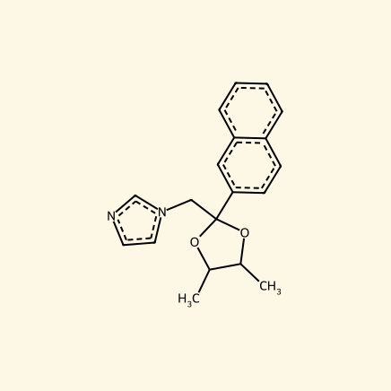 CC1OC(Cn2ccnc2)(c2ccc3ccccc3c2)OC1C